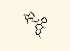 CC(Nc1ncnc2[nH]cc(F)c12)c1cc2ccc(F)cn2c(=O)c1-c1ccccc1